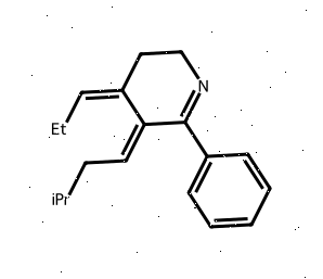 CC/C=C1/CCN=C(c2ccccc2)/C1=C/CC(C)C